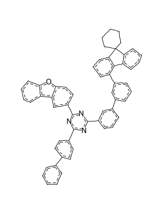 c1ccc(-c2ccc(-c3nc(-c4cccc(-c5cccc(-c6cccc7c6-c6ccccc6C76CCCCC6)c5)c4)nc(-c4ccc5oc6ccccc6c5c4)n3)cc2)cc1